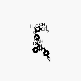 CCC(C)CC(CC)Oc1ccc(NC(=O)C(NCCc2ccc(C#N)cc2)c2ccccc2)nc1